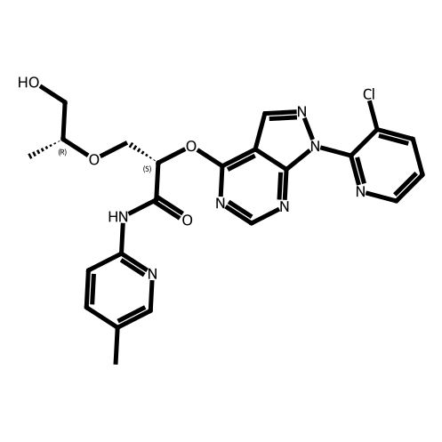 Cc1ccc(NC(=O)[C@H](CO[C@H](C)CO)Oc2ncnc3c2cnn3-c2ncccc2Cl)nc1